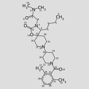 CCCCC1N(CC(=O)N(C)C)C(=O)OC12CCN(C1CCN(C(=O)c3c(C)cccc3C)CC1)CC2